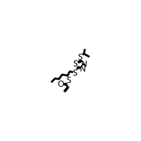 C=CC(=O)SC(CCCC)CSc1nnc(SC(C)C)s1